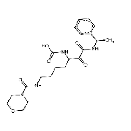 C[C@@H](NC(=O)C(=O)C(CCCCNC(=O)N1CCOCC1)NC(=O)O)c1ccccc1